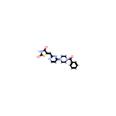 O=C1NC(=O)/C(=C/c2nccc(N3CCN(C(=O)c4ccccc4)CC3)n2)S1